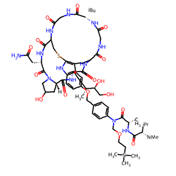 CC[C@H](C)[C@@H]1NC(=O)CNC(=O)C2Cc3c([nH]c4ccc(OCc5ccc(N(COCC[Si](C)(C)C)C(=O)[C@H](C)NC(=O)[C@@H](NC)C(C)C)cc5)cc34)SCC(NC(=O)CNC1=O)C(=O)N[C@@H](CC(N)=O)C(=O)N1CC(O)C[C@H]1C(=O)N[C@@H]([C@@H](C)[C@@H](O)CO)C(=O)N2